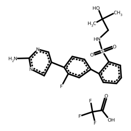 CC(C)(O)CNS(=O)(=O)c1ccccc1-c1ccc(-c2cnc(N)nc2)c(F)c1.O=C(O)C(F)(F)F